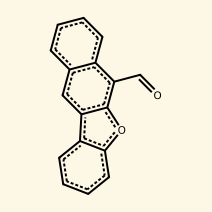 O=Cc1c2ccccc2cc2c1oc1ccccc12